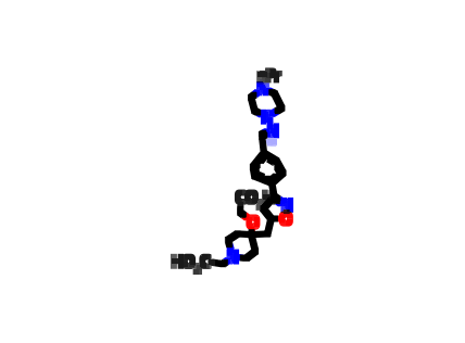 CCCN1CCN(/N=C/c2ccc(C3=NOC(CC4(OCC(=O)O)CCN(CC(=O)O)CC4)C3)cc2)CC1